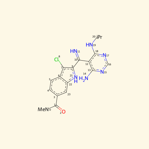 CNC(=O)c1ccc2c(Cl)c(C(=N)c3c(N)ncnc3NC(C)C)[nH]c2c1